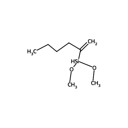 C=C(CCCC)[SiH](OC)OC